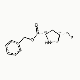 O=C(OCc1ccccc1)[C@@H]1C[C@H](CF)CN1